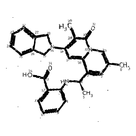 Cc1cc([C@@H](C)Nc2ccccc2C(=O)O)c2cc(N3Cc4ccccc4C3)c(C)c(=O)n2c1